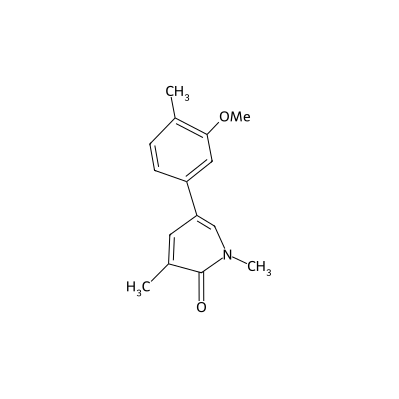 COc1cc(-c2cc(C)c(=O)n(C)c2)ccc1C